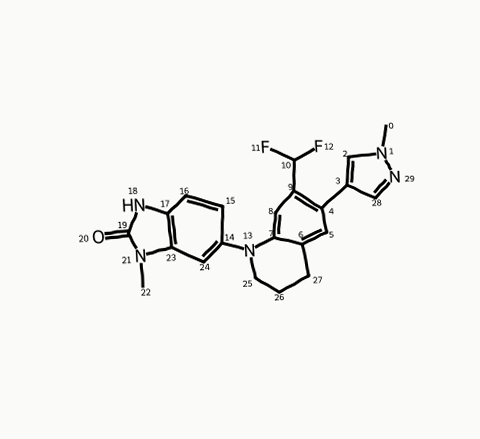 Cn1cc(-c2cc3c(cc2C(F)F)N(c2ccc4[nH]c(=O)n(C)c4c2)CCC3)cn1